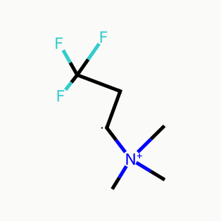 C[N+](C)(C)[CH]CC(F)(F)F